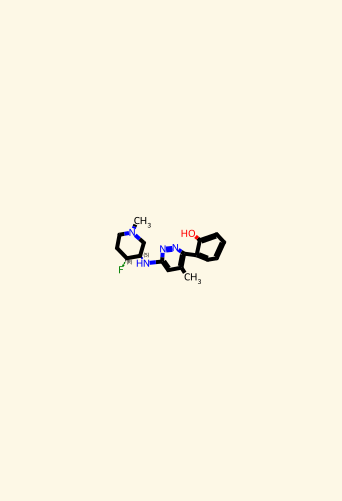 Cc1cc(N[C@H]2CN(C)CC[C@H]2F)nnc1-c1ccccc1O